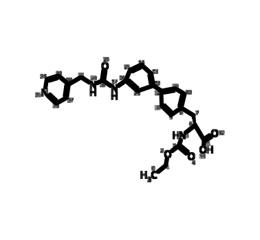 CCOC(=O)N[C@@H](Cc1ccc(-c2cccc(NC(=O)NCc3ccncc3)c2)cc1)C(=O)O